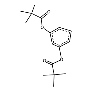 CC(C)(C)C(=O)Oc1[c]c(OC(=O)C(C)(C)C)ccc1